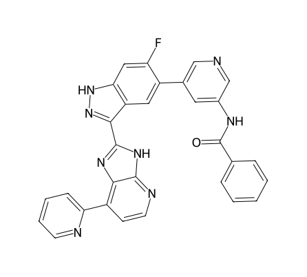 O=C(Nc1cncc(-c2cc3c(-c4nc5c(-c6ccccn6)ccnc5[nH]4)n[nH]c3cc2F)c1)c1ccccc1